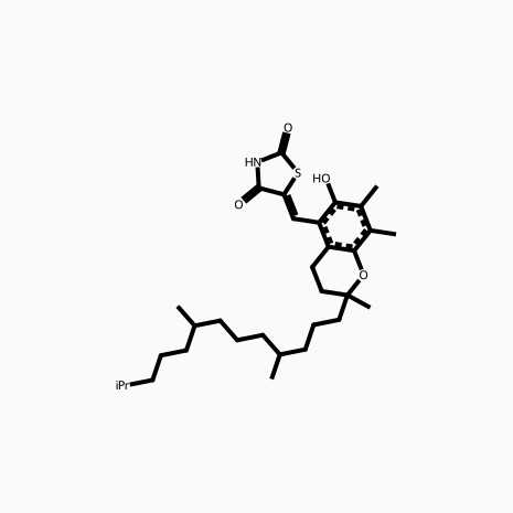 Cc1c(C)c2c(c(C=C3SC(=O)NC3=O)c1O)CCC(C)(CCCC(C)CCCC(C)CCCC(C)C)O2